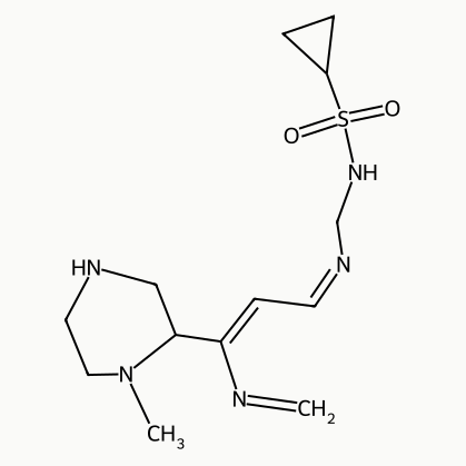 C=N/C(=C\C=N/CNS(=O)(=O)C1CC1)C1CNCCN1C